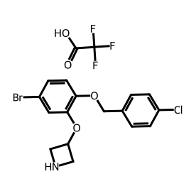 Clc1ccc(COc2ccc(Br)cc2OC2CNC2)cc1.O=C(O)C(F)(F)F